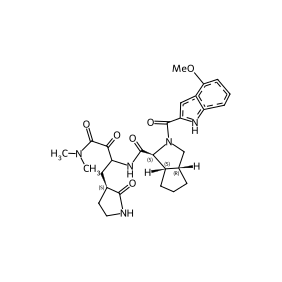 COc1cccc2[nH]c(C(=O)N3C[C@@H]4CCC[C@@H]4[C@H]3C(=O)NC(C[C@@H]3CCNC3=O)C(=O)C(=O)N(C)C)cc12